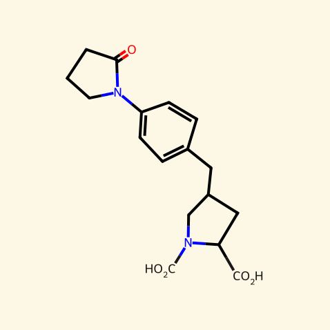 O=C(O)C1CC(Cc2ccc(N3CCCC3=O)cc2)CN1C(=O)O